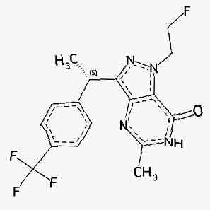 Cc1nc2c([C@@H](C)c3ccc(C(F)(F)F)cc3)nn(CCF)c2c(=O)[nH]1